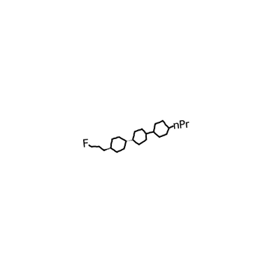 CCCC1CCC(C2CCC([C@H]3CC[C@H](CCCF)CC3)CC2)CC1